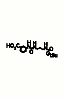 CC(C)(C)OC(=O)NCCCNC(=O)Nc1cccc(C(=O)O)c1